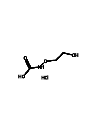 Cl.O=C(O)NOCCO